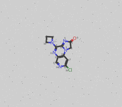 O=C1CN2C(=N1)C(N1C[CH]C1)=Nc1cnc(Cl)cc12